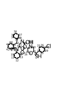 CN(C(=O)O)[C@H](C(=O)Nc1ccccc1OC[C@@H]1CNC[C@@H](C(S)c2ccc(Cl)cc2)O1)C(c1ccccc1)c1ccccc1